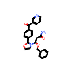 NC(=O)CC(OCc1ccccc1)N1C=COC1c1ccc(C(=O)c2cccnc2)cc1